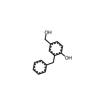 OCc1ccc(O)c(Cc2ccccc2)c1